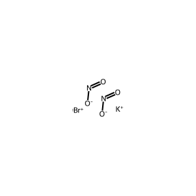 O=N[O-].O=N[O-].[Br+].[K+]